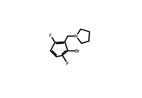 Fc1ccc(F)c(CN2CCCC2)c1Br